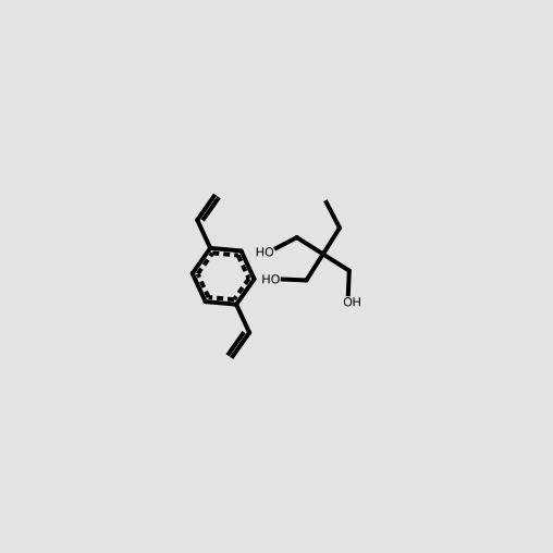 C=Cc1ccc(C=C)cc1.CCC(CO)(CO)CO